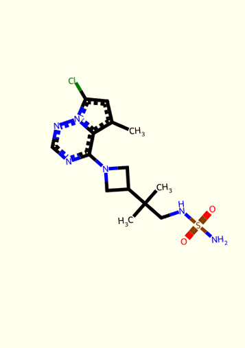 Cc1cc(Cl)n2ncnc(N3CC(C(C)(C)CNS(N)(=O)=O)C3)c12